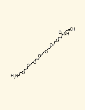 C#CCNC(=O)CCOCCOCCOCCOCCOCCOCCOCCN